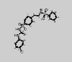 O=S(=O)(NCCc1ccc(S(=O)(=O)NC(=S)Nc2ccc(Cl)cc2)cc1)c1ccccc1